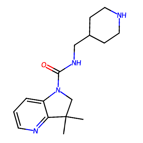 CC1(C)CN(C(=O)NCC2CCNCC2)c2cccnc21